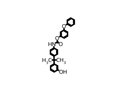 CC(C)(c1ccc(NC(=O)Oc2cccc(Oc3ccccc3)c2)cc1)c1cccc(O)c1